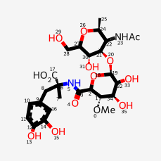 CO[C@@H]1C(C(=O)N[C@](C)(Cc2ccc(O)c(O)c2)C(=O)O)O[C@@H](O[C@@H]2C(NC(C)=O)[C@H](C)OC(CO)[C@H]2O)C(O)[C@H]1O